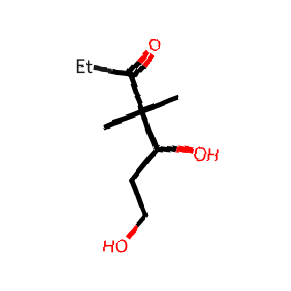 CCC(=O)C(C)(C)C(O)CCO